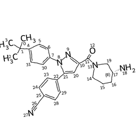 CC(C)(C)c1ccc(-n2nc(C(=O)N3CCC[C@@H](N)C3)cc2-c2ccc(C#N)cc2)cc1